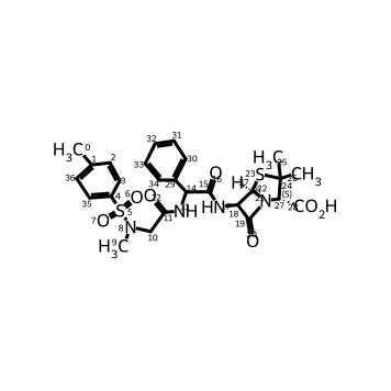 Cc1ccc(S(=O)(=O)N(C)CC(=O)NC(C(=O)NC2C(=O)N3[C@@H]2SC(C)(C)[C@@H]3C(=O)O)c2ccccc2)cc1